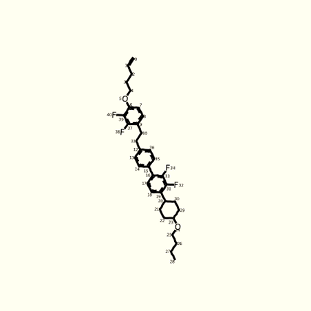 C=CCCCOc1ccc(CCc2ccc(-c3ccc(C4CCC(OCCCC)CC4)c(F)c3F)cc2)c(F)c1F